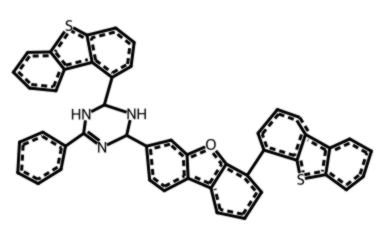 c1ccc(C2=NC(c3ccc4c(c3)oc3c(-c5cccc6c5sc5ccccc56)cccc34)NC(c3cccc4sc5ccccc5c34)N2)cc1